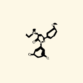 CCN(C)c1cc(-c2cccc(OC)c2)nn(-c2cc(Cl)cc(Cl)c2)c1=O